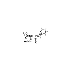 CC(=O)NC(NC(=O)C(F)(F)F)C(=O)NCc1ccccc1